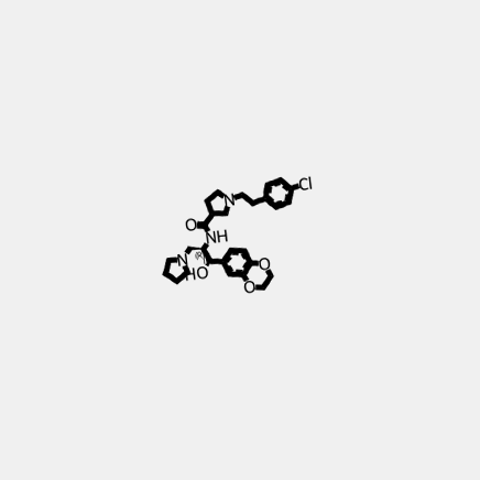 O=C(N[C@H](CN1CCCC1)[C@H](O)c1ccc2c(c1)OCCO2)C1CCN(CCc2ccc(Cl)cc2)C1